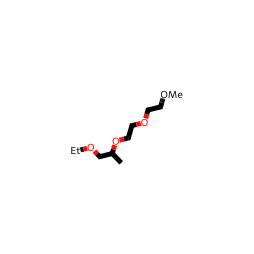 CCOCC(C)OCCOCCOC